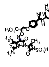 Cc1sc(N)nc1/C(=N/O[C@@H](COc1ccc(C(=N)N[C@@H]2CCCNC2)cc1)C(=O)O)C(=O)N[C@@H]1C(=O)N(S(=O)(=O)O)[C@H]1C